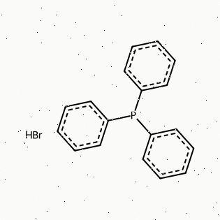 Br.c1ccc(P(c2ccccc2)c2ccccc2)cc1